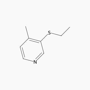 CCSc1cnccc1C